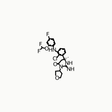 C[C@@]1(c2cccc(Nc3ccc(F)cc3OC(F)F)c2Cl)CC(=O)N(C2CCOCC2)C(=N)N1